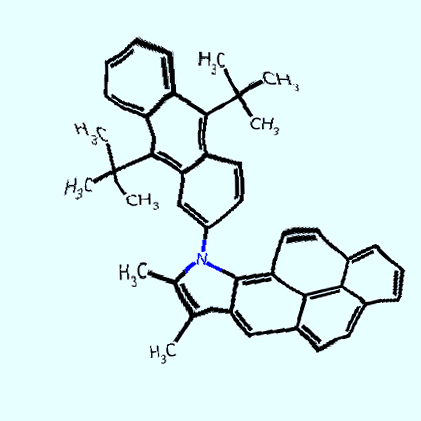 Cc1c(C)n(-c2ccc3c(C(C)(C)C)c4ccccc4c(C(C)(C)C)c3c2)c2c1cc1ccc3cccc4ccc2c1c34